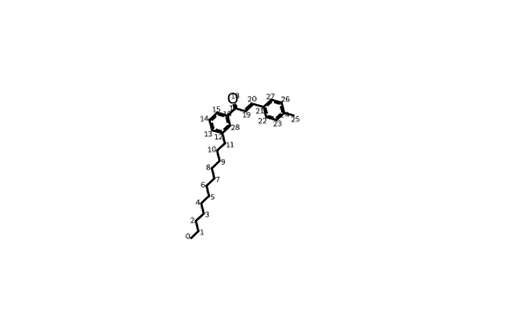 CCCCCCCCCCCCc1cccc(C(=O)C=Cc2ccc(C)cc2)c1